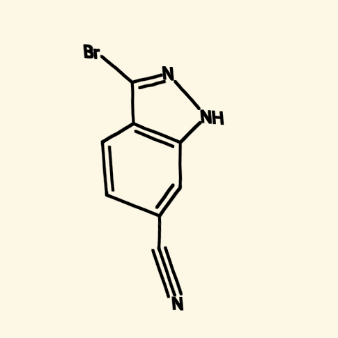 N#Cc1ccc2c(Br)n[nH]c2c1